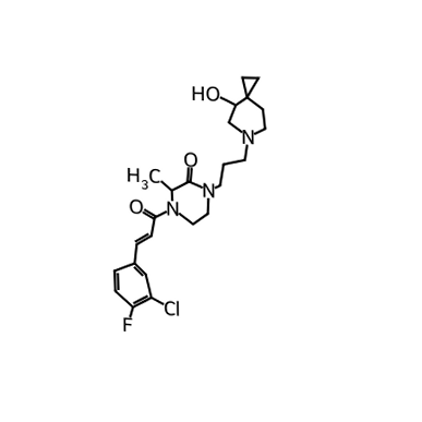 CC1C(=O)N(CCCN2CCC3(CC3)C(O)C2)CCN1C(=O)C=Cc1ccc(F)c(Cl)c1